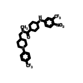 CN(CC1CCN(c2ccc(C(F)(F)F)cc2)CC1)C(=O)C1CCC(Nc2ccc([N+](=O)[O-])c(C(F)(F)F)c2)CC1